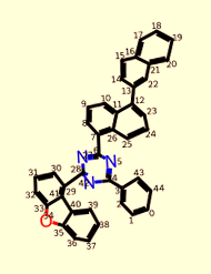 c1ccc(-c2nc(-c3cccc4c(-c5ccc6ccccc6c5)cccc34)nc(-c3cccc4oc5ccccc5c34)n2)cc1